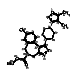 Cc1onc([C@H]2CC[C@H](c3nnc4n3-c3ccc(Cl)cc3CN(C(=O)OC(C)(C)C)C4)CC2)c1C